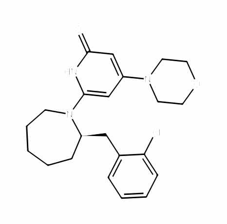 Cc1ccccc1C[C@H]1CCCCCN1c1cc(N2CCOCC2)cc(=O)[nH]1